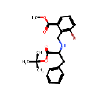 COC(=O)c1cccc(Br)c1CNC(Cc1ccccc1)C(=O)OC(C)(C)C